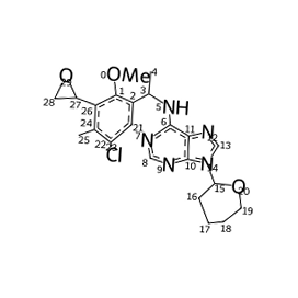 COc1c(C(C)Nc2ncnc3c2ncn3C2CCCCO2)cc(Cl)c(C)c1C1CO1